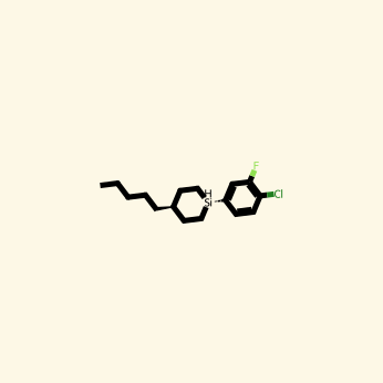 CCCCC[C@H]1CC[Si@H](c2ccc(Cl)c(F)c2)CC1